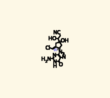 N#CCC(O)[C@]1(O)C/C(=C\Cl)[C@@H](n2cnc3c(=O)[nH]c(N)nc32)C1